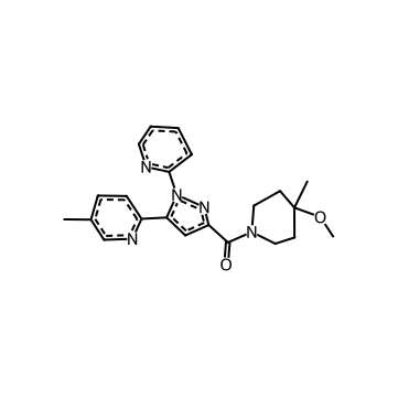 COC1(C)CCN(C(=O)c2cc(-c3ccc(C)cn3)n(-c3ccccn3)n2)CC1